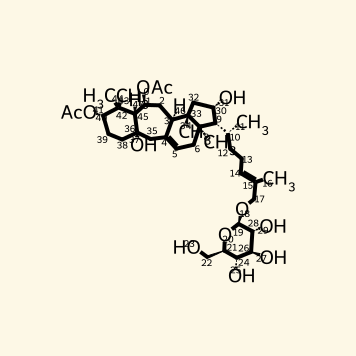 CC(=O)O[C@H]1C[C@@H]2C(=CC[C@]3(C)[C@@H]([C@H](C)CC/C=C(\C)CO[C@@H]4O[C@H](CO)[C@@H](O)[C@H](O)[C@H]4O)[C@@H](O)C[C@@]23C)C[C@]2(O)CC[C@H](OC(C)=O)C(C)(C)[C@H]12